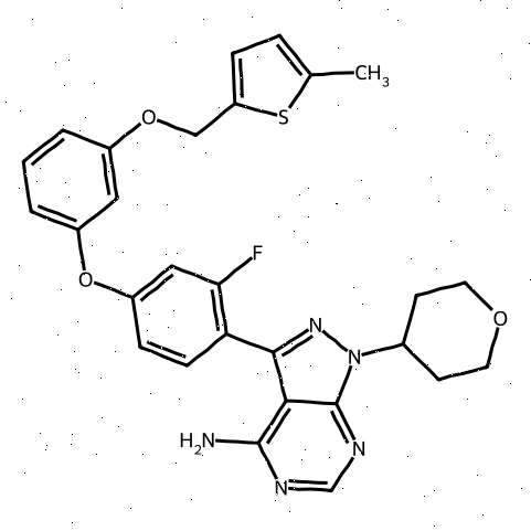 Cc1ccc(COc2cccc(Oc3ccc(-c4nn(C5CCOCC5)c5ncnc(N)c45)c(F)c3)c2)s1